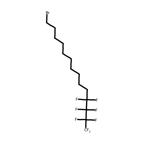 FC(F)(F)C(F)(F)C(F)(F)C(F)(F)CCCCCCCCCCBr